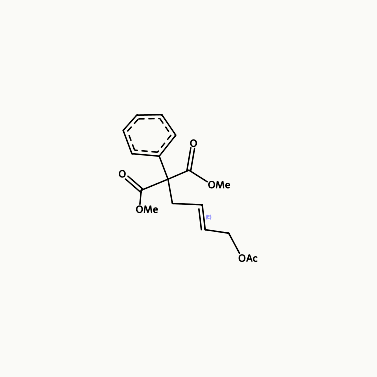 COC(=O)C(C/C=C/COC(C)=O)(C(=O)OC)c1ccccc1